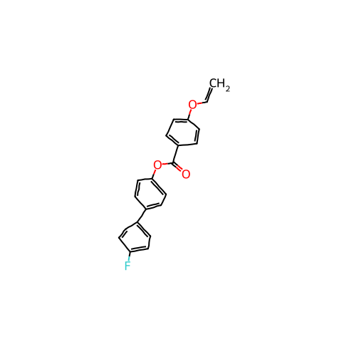 C=COc1ccc(C(=O)Oc2ccc(-c3ccc(F)cc3)cc2)cc1